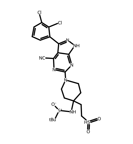 CC(C)(C)[S+]([O-])NC1(CC[SH](=O)=O)CCN(c2nc(C#N)c3c(-c4cccc(Cl)c4Cl)n[nH]c3n2)CC1